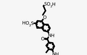 Cc1cc(C(=O)Nc2ccc3c(OCCCS(=O)(=O)O)cc(S(=O)(=O)O)cc3c2)ccc1N